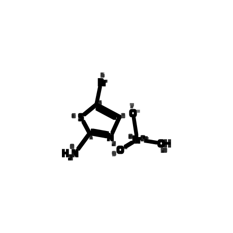 Nc1ncc(Br)s1.[O-][Br+2]([O-])O